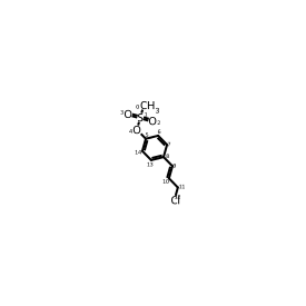 CS(=O)(=O)Oc1ccc(C=CCCl)cc1